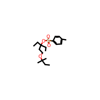 CCC(C)(C)OCCC(CC)(CC)OS(=O)(=O)c1ccc(C)cc1